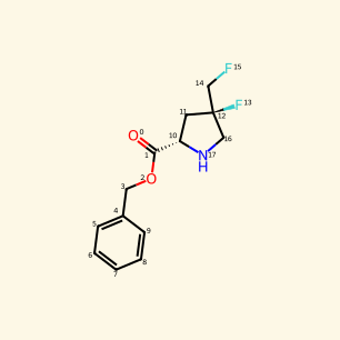 O=C(OCc1ccccc1)[C@@H]1C[C@](F)(CF)CN1